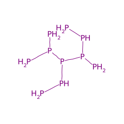 PPP(P)P(PP)P(P)P